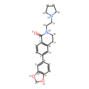 O=C1c2ccc(-c3ccc4c(c3)OCO4)cc2CCN1CCN1CCCC1